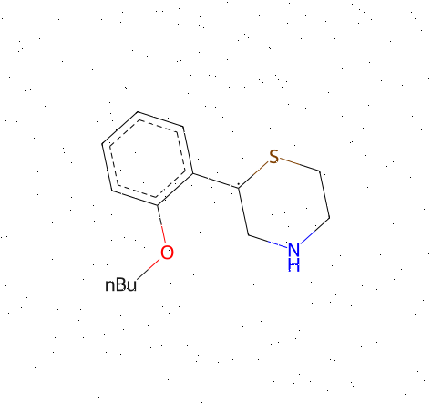 CCCCOc1ccccc1[C]1CNCCS1